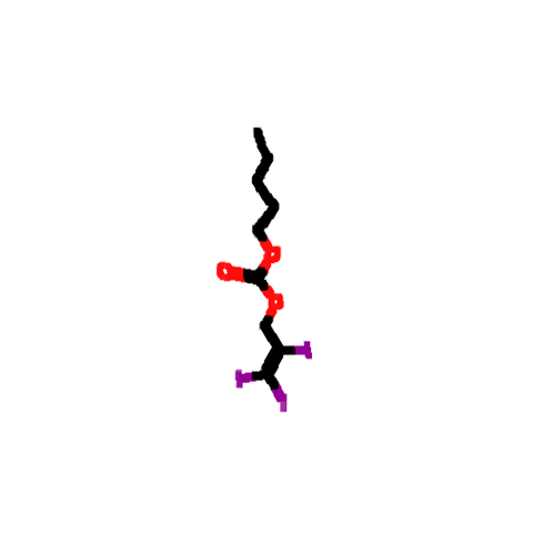 CCCCCOC(=O)OCC(I)=C(I)I